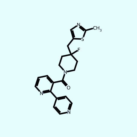 Cc1ncc(CC2(F)CCN(C(=O)c3cccnc3-c3ccncc3)CC2)s1